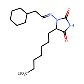 CCOC(=O)CCCCCCC1C(=O)NC(=O)N1N=CCC1CCCCC1